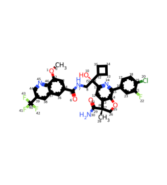 COc1cc(C(=O)NC[C@](O)(c2cc3c(c(-c4ccc(Cl)c(F)c4)n2)OC[C@]3(C)C(N)=O)C2CCC2)cc2cc(C(F)(F)F)cnc12